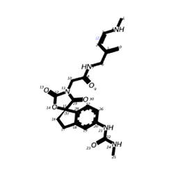 C=C(/C=C\NC)CNC(=O)CN1C(=O)O[C@]2(CCc3cc(NC(=O)NC)ccc32)C1=O